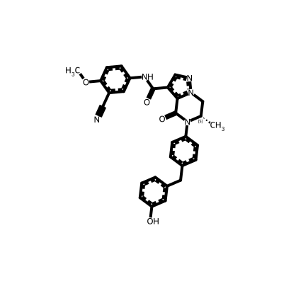 COc1ccc(NC(=O)c2cnn3c2C(=O)N(c2ccc(Cc4cccc(O)c4)cc2)[C@@H](C)C3)cc1C#N